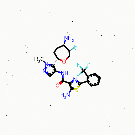 Cn1ncc(NC(=O)c2nc(-c3ccccc3C(F)(F)F)sc2N)c1[C@@H]1CC[C@@H](N)[C@@H](F)CO1